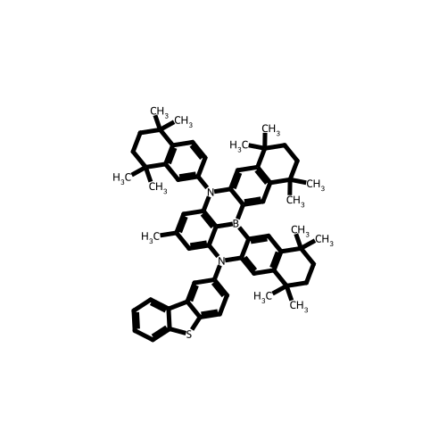 Cc1cc2c3c(c1)N(c1ccc4sc5ccccc5c4c1)c1cc4c(cc1B3c1cc3c(cc1N2c1ccc2c(c1)C(C)(C)CCC2(C)C)C(C)(C)CCC3(C)C)C(C)(C)CCC4(C)C